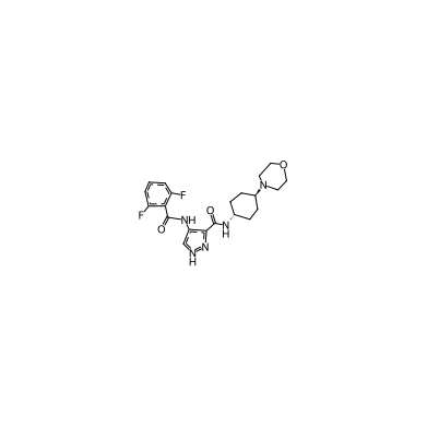 O=C(N[C@H]1CC[C@H](N2CCOCC2)CC1)c1n[nH]cc1NC(=O)c1c(F)cccc1F